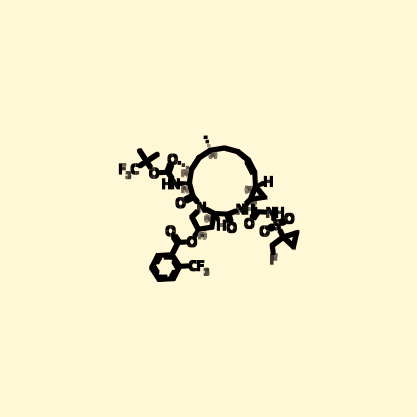 C[C@@H]1CCC=C[C@@H]2C[C@@]2(C(=O)NS(=O)(=O)C2(CF)CC2)NC(=O)[C@@H]2C[C@@H](OC(=O)c3ccccc3C(F)(F)F)CN2C(=O)[C@@H](NC(=O)OC(C)(C)C(F)(F)F)[C@H](C)C1